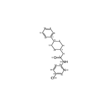 O=C(CC1CCC(c2ccccc2)CC1)Nc1ccc(Cl)cn1